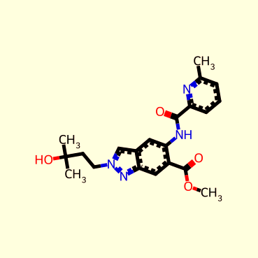 COC(=O)c1cc2nn(CCC(C)(C)O)cc2cc1NC(=O)c1cccc(C)n1